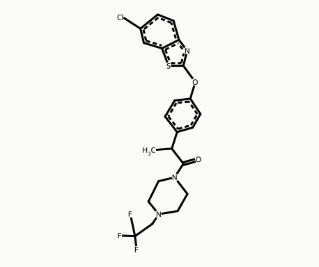 CC(C(=O)N1CCN(CC(F)(F)F)CC1)c1ccc(Oc2nc3ccc(Cl)cc3s2)cc1